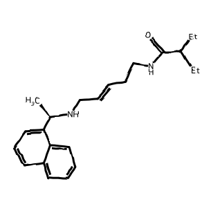 CCC(CC)C(=O)NCC/C=C/CN[C@H](C)c1cccc2ccccc12